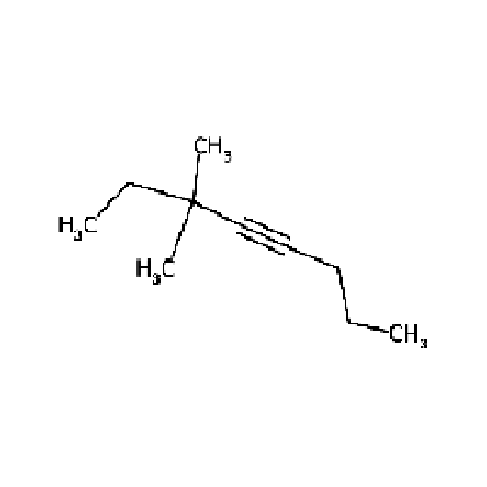 CCCC#CC(C)(C)CC